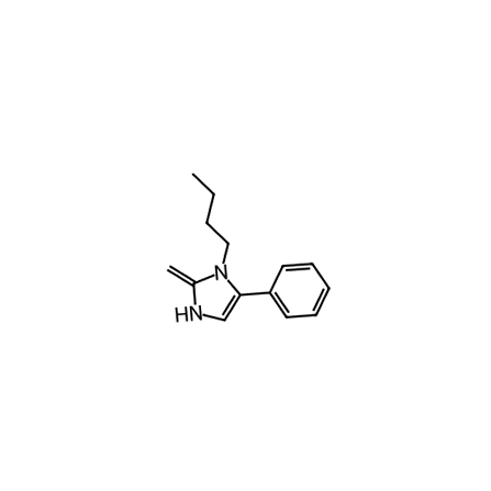 C=C1NC=C(c2ccccc2)N1CCCC